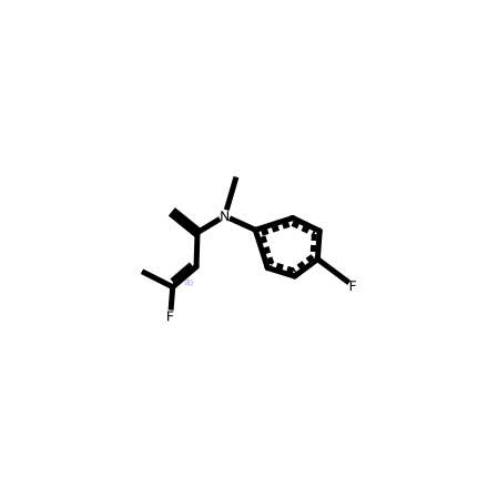 C=C(/C=C(\C)F)N(C)c1ccc(F)cc1